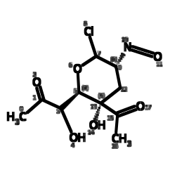 CC(=O)C(O)[C@H]1OC(Cl)[C@H](N=O)C[C@@]1(O)C(C)=O